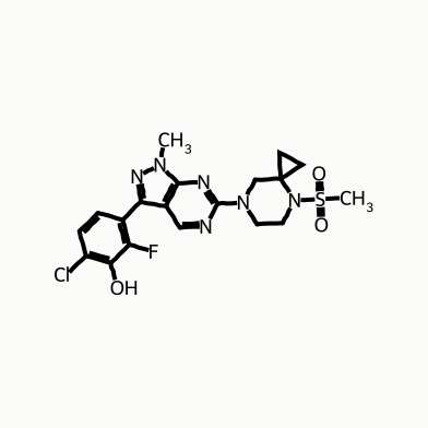 Cn1nc(-c2ccc(Cl)c(O)c2F)c2cnc(N3CCN(S(C)(=O)=O)C4(CC4)C3)nc21